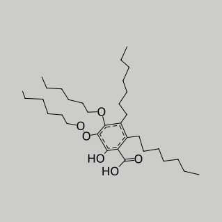 CCCCCCCc1c(CCCCCCC)c(C(=O)O)c(O)c(OOCCCCCC)c1OCCCCCC